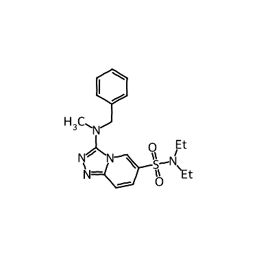 CCN(CC)S(=O)(=O)c1ccc2nnc(N(C)Cc3ccccc3)n2c1